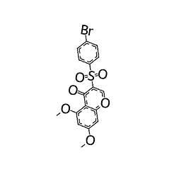 COc1cc(OC)c2c(=O)c(S(=O)(=O)c3ccc(Br)cc3)coc2c1